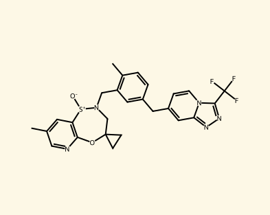 Cc1cnc2c(c1)[S+]([O-])N(Cc1cc(Cc3ccn4c(C(F)(F)F)nnc4c3)ccc1C)CC1(CC1)O2